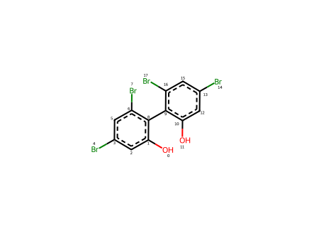 Oc1cc(Br)cc(Br)c1-c1c(O)cc(Br)cc1Br